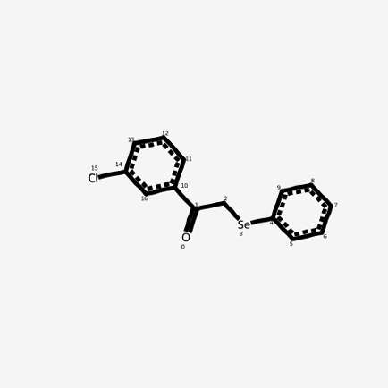 O=C(C[Se]c1ccccc1)c1cccc(Cl)c1